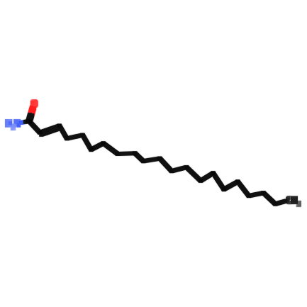 CCCCCCCCCCCCCCCCCCC=CC(N)=O